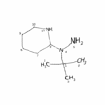 CC(C)(C)N(N)C1CCCCN1